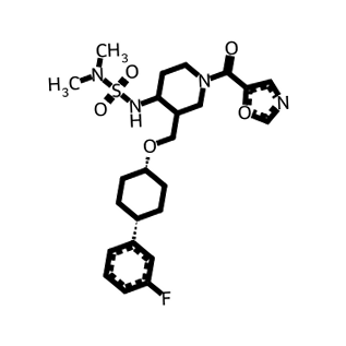 CN(C)S(=O)(=O)NC1CCN(C(=O)c2cnco2)CC1CO[C@H]1CC[C@@H](c2cccc(F)c2)CC1